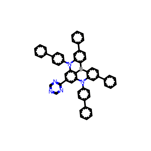 c1ccc(-c2ccc(N3c4cc(-c5ccccc5)ccc4B4c5ccc(-c6ccccc6)cc5N(c5ccc(-c6ccccc6)cc5)c5cc(-c6ncncn6)cc3c54)cc2)cc1